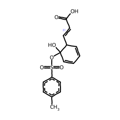 Cc1ccc(S(=O)(=O)OC2(O)C=CC=CC2/C=C/C(=O)O)cc1